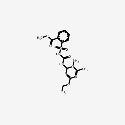 CCOC1=NC(NC(=O)NS(=O)(=O)c2ccccc2C(=O)OC)N(N)C(C)=N1